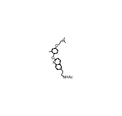 CC(=O)NCCc1ccc2nc(Oc3ccc(OCCN(C)C)cc3C)ccc2c1